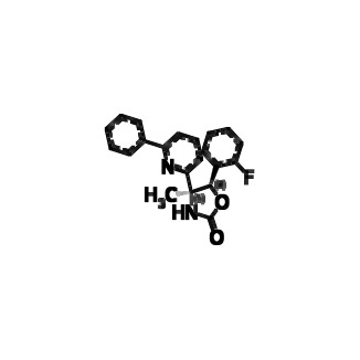 C[C@@]1(c2cccc(-c3ccccc3)n2)NC(=O)O[C@@H]1c1ccccc1F